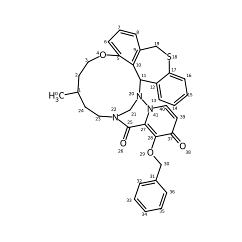 CC1CCOc2cccc3c2C(c2ccccc2SC3)N2CN(CC1)C(=O)c1c(OCc3ccccc3)c(=O)ccn12